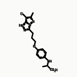 Cc1nn2c(CCCOc3ccc(NC(C)C(=O)O)cc3)n[nH]c2c1Cl